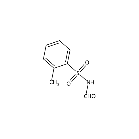 Cc1ccccc1S(=O)(=O)NC=O